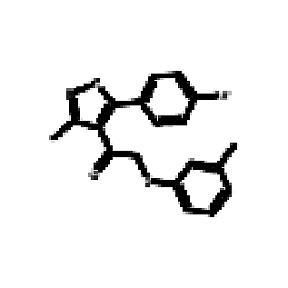 Cc1cccc(SCC(=O)c2c(C)noc2-c2ccc(Br)cc2)c1